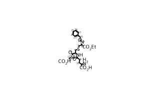 CCOC(=O)C(CSCC(NC(=O)CCC(N)C(=O)O)C(=O)NCC(=O)O)=NOCc1ccccc1